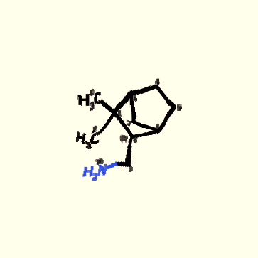 CC1(C)C2CCC(C2)[C@H]1CN